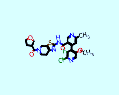 COc1cnc(Cl)c(F)c1-c1cc(C)ncc1C(=O)Nc1nc2c(s1)CN(C(=O)C1CCOC1)CC2